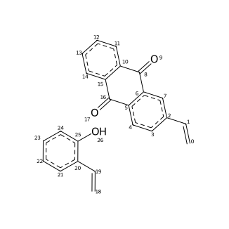 C=Cc1ccc2c(c1)C(=O)c1ccccc1C2=O.C=Cc1ccccc1O